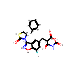 O=C1NC(=O)C(Cc2cc(F)c3onc(N4C(=O)SC[C@@H]4Cc4ccccc4)c3c2)C(=O)O1